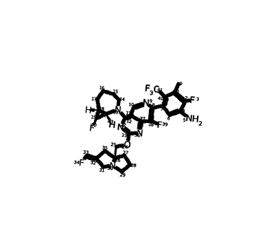 Cc1c(F)c(N)cc(-c2ncc3c(N4CCCC[C@H]5[C@H](F)[C@H]54)nc(OC[C@@]45CCCN4C/C(=C\F)C5)nc3c2F)c1C(F)(F)F